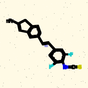 CCCC1=Cc2cc(/C=C/c3cc(F)c(N=C=S)c(F)c3)ccc2C1